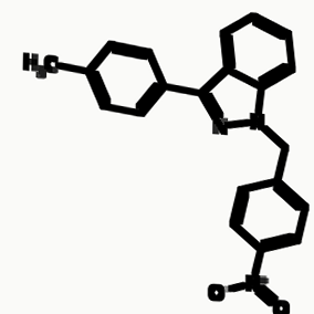 Cc1ccc(-c2nn(Cc3ccc([N+](=O)[O-])cc3)c3ccccc23)cc1